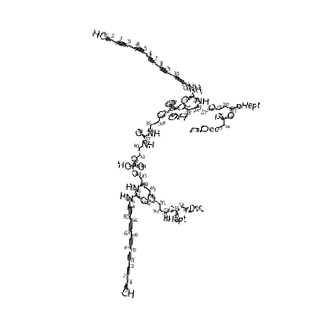 C#CC#CC#CC#CC#CC#CNC(=O)N[C@H](COCC[C@@H](CCCCCCC)OC(=O)CCCCCCCCCCC)COP(=O)(O)OCCNC(=O)NCCOP(=O)(O)OC[C@@H](COCC[C@@H](CCCCCCC)OC(=O)CCCCCCCCCCC)NC(=O)NC#CC#CC#CC#CC#CC#C